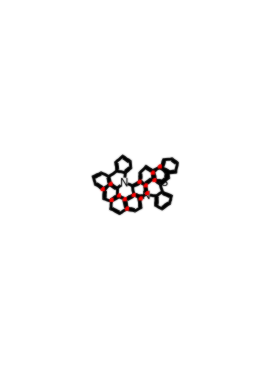 c1ccc(-c2ccccc2N(c2ccccc2-c2ccccc2)c2ccccc2-c2cccc(N(c3ccccc3-c3ccccc3)c3cccc4c3sc3ccccc34)c2)cc1